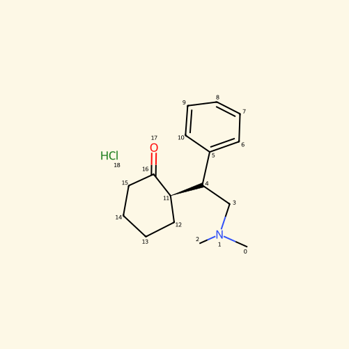 CN(C)CC(c1ccccc1)[C@H]1CCCCC1=O.Cl